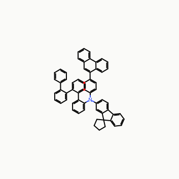 c1ccc(-c2ccccc2-c2ccccc2-c2ccccc2N(c2ccc(-c3cc4ccccc4c4ccccc34)cc2)c2ccc3c(c2)C2(CCCC2)c2ccccc2-3)cc1